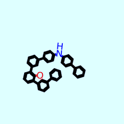 c1ccc(-c2ccc(Nc3ccc(-c4cccc(-c5cccc6c5oc5c(-c7ccccc7)cccc56)c4)cc3)cc2)cc1